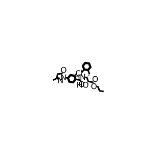 CCCOC(=O)[C@H](O)[C@@H](Cc1ccccc1Cl)NC(=O)c1ccc(N2N=C(C)CC2=O)cc1